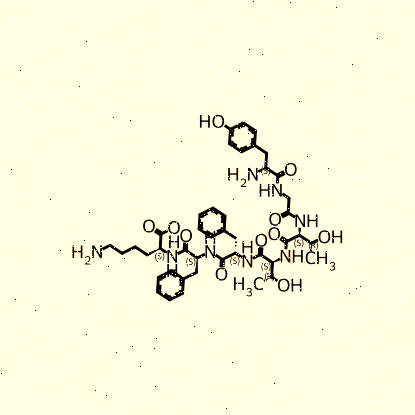 C[C@@H](O)[C@H](NC(=O)CNC(=O)[C@@H](N)Cc1ccc(O)cc1)C(=O)N[C@H](C(=O)N[C@@H](Cc1ccccc1)C(=O)N[C@@H](Cc1ccccc1)C(=O)N[C@@H](CCCCN)C(=O)O)[C@@H](C)O